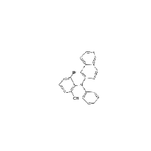 Oc1cccc(Br)c1N(c1ccccc1)c1ccc2ccccc2c1